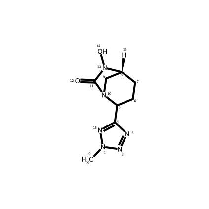 Cn1nnc(C2CC[C@@H]3CN2C(=O)N3O)n1